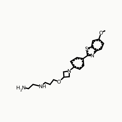 COc1ccc2nc(-c3ccc(N4CC(OCCCNCCN)C4)cc3)sc2c1